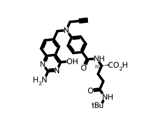 C#CCN(Cc1ccc2nc(N)nc(O)c2c1)c1ccc(C(=O)N[C@@H](CCC(=O)NC(C)(C)C)C(=O)O)cc1